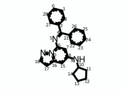 c1ccc(C(=Nc2cc(NC3CCCC3)cc3ccnn23)c2ccccc2)cc1